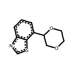 c1cc(C2COCCO2)c2scnc2c1